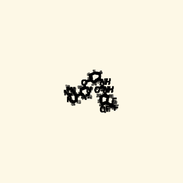 O=C(Nc1cccc(Oc2cc(-c3ccnc4ncnn34)ncn2)c1)Nc1ccc(Cl)c(C(F)(F)F)c1